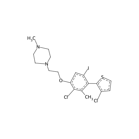 Cc1c(Cl)c(OCCN2CCN(C)CC2)cc(I)c1-c1sccc1Cl